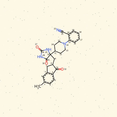 Cc1ccc2c(c1)CC(CC1(C3CCN(c4ccccc4C#N)CC3)NC(=O)NC1=O)C2=O